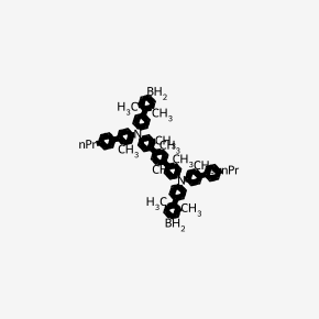 Bc1cc(C)c(-c2ccc(N(c3ccc(-c4ccc(CCC)cc4)c(C)c3)c3ccc(-c4cc(C)c(-c5ccc(N(c6ccc(-c7c(C)cc(B)cc7C)cc6)c6ccc(-c7ccc(CCC)cc7)c(C)c6)cc5C)cc4C)c(C)c3)cc2)c(C)c1